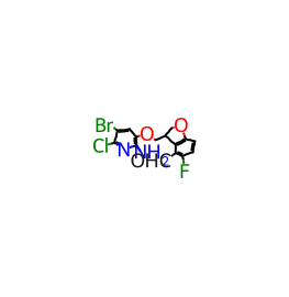 Nc1nc(Cl)c(Br)cc1OCC1COc2ccc(F)c(C=O)c21